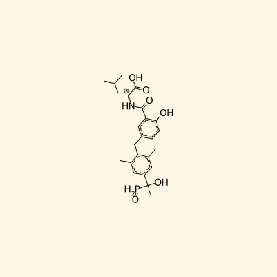 Cc1cc(C(C)(O)[PH2]=O)cc(C)c1Cc1ccc(O)c(C(=O)N[C@H](CC(C)C)C(=O)O)c1